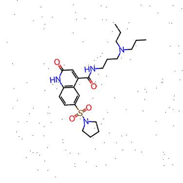 CCCN(CCC)CCCNC(=O)c1cc(=O)[nH]c2ccc(S(=O)(=O)N3CCCC3)cc12